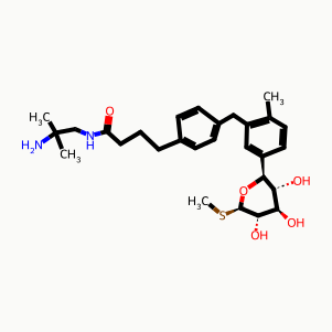 CS[C@H]1O[C@@H](c2ccc(C)c(Cc3ccc(CCCC(=O)NCC(C)(C)N)cc3)c2)[C@H](O)[C@@H](O)[C@@H]1O